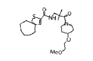 COCCOC1CCN(C(=O)C(C)(C)CNC(=O)c2cc3c(s2)CCCCCC3)CC1